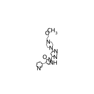 COCCN1CCN(c2cc(-n3[nH]cc(-c4cccnc4)c3=O)ncn2)CC1